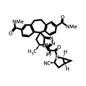 CNC(=O)c1ccc2c(c1)CCc1cc(C(=O)NC)ccc1C2(C[C@H](C)NCC(=O)N1[C@H](C#N)C[C@@H]2C[C@@H]21)c1nnc(C(C)C)o1